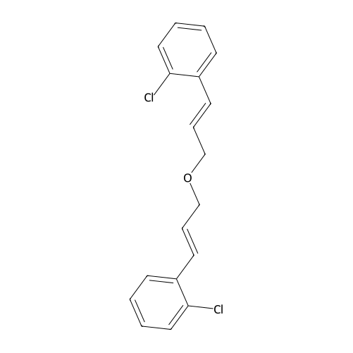 Clc1ccccc1C=CCOCC=Cc1ccccc1Cl